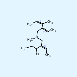 C/C=C(C)\C(=C/C)CN(C)C/C(=C/C)C(C)CC